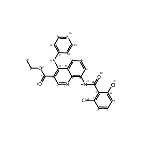 CCOC(=O)c1cnc2c(NC(=O)c3c(Cl)cccc3Cl)cccc2c1Sc1ccncc1